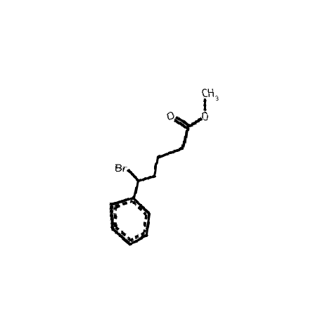 COC(=O)CCCC(Br)c1ccccc1